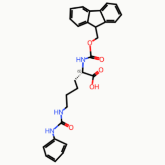 O=C(NCCCC[C@H](NC(=O)OCC1c2ccccc2-c2ccccc21)C(=O)O)Nc1ccccc1